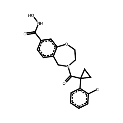 O=C(NO)c1ccc2c(c1)OCCN(C(=O)C1(c3ccccc3Cl)CC1)C2